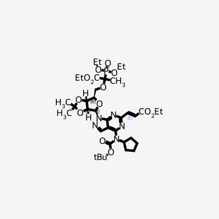 CCOC(=O)/C=C/c1nc(N(C(=O)OC(C)(C)C)C2CCCC2)c2cnn([C@@H]3O[C@H](COC(C)(C(=O)OCC)P(=O)(OCC)OCC)[C@H]4OC(C)(C)O[C@H]43)c2n1